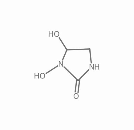 O=C1NCC(O)N1O